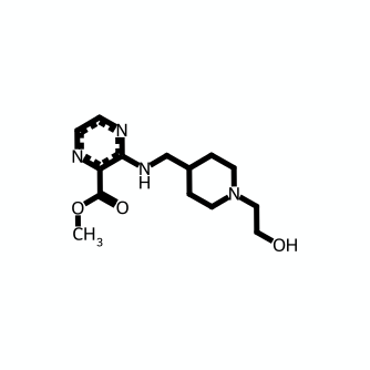 COC(=O)c1nccnc1NCC1CCN(CCO)CC1